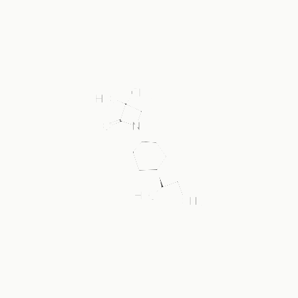 CCC(C)[C@H]1CC[C@H](N2CC(C)(C)C2=O)CC1